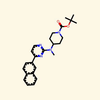 CN(c1nccc(-c2ccc3ccccc3c2)n1)C1CCN(C(=O)OC(C)(C)C)CC1